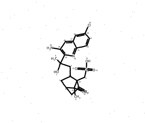 CC(O)(CC1CC2CC(=O)C1(CS(=O)(=O)O)C2(C)C)c1nc2ccc(Cl)cc2cc1N